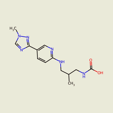 CC(CNC(=O)O)CNc1ccc(-c2ncn(C)n2)cn1